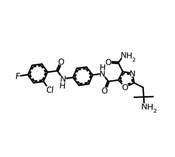 CC(C)(N)Cc1nc(C(N)=O)c(C(=O)Nc2ccc(NC(=O)c3ccc(F)cc3Cl)cc2)o1